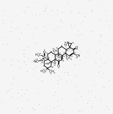 CC1(C)CC[C@]2(S(C)(=O)=NC#N)CC[C@]3(C)[C@H](C(=O)C=C4[C@@]5(C)C=C(C#N)C(=O)C6(CC6)[C@@H]5CC[C@]43C)[C@@H]2C1